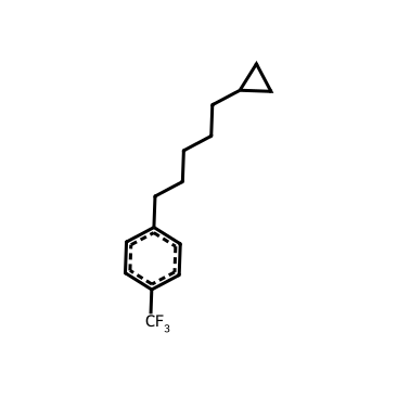 FC(F)(F)c1ccc(CCCCCC2CC2)cc1